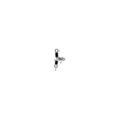 [Nb].[O]=[Th]=[O]